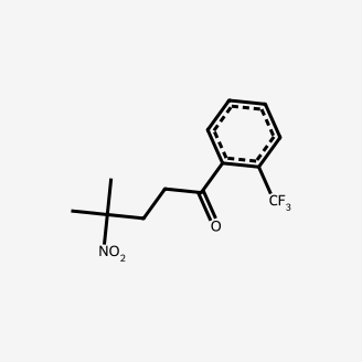 CC(C)(CCC(=O)c1ccccc1C(F)(F)F)[N+](=O)[O-]